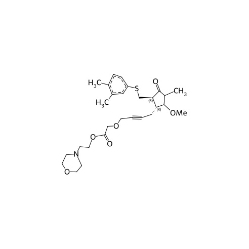 COC1C(C)C(=O)[C@H](CSc2ccc(C)c(C)c2)[C@H]1CC#CCOCC(=O)OCCN1CCOCC1